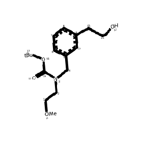 COCCN(Cc1cccc(CCO)c1)C(=O)OC(C)(C)C